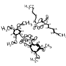 CCCCCS(=O)(=O)OS(=O)(=O)CCCCC.COc1cc(OC)c(S(=O)(=O)OS(=O)(=O)c2cc(OC)c(OC)cc2OC)cc1OC